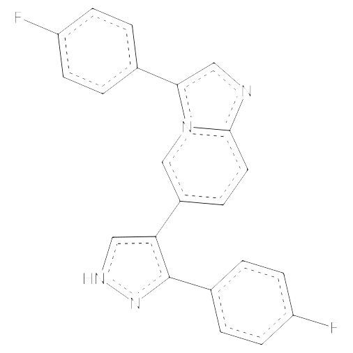 Fc1ccc(-c2n[nH]cc2-c2ccc3ncc(-c4ccc(F)cc4)n3c2)cc1